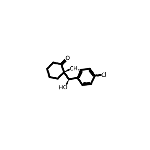 C[C@@]1([C@H](O)c2ccc(Cl)cc2)CCCCC1=O